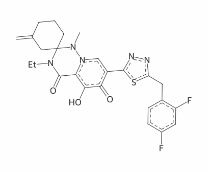 C=C1CCCC2(C1)N(CC)C(=O)c1c(O)c(=O)c(-c3nnc(Cc4ccc(F)cc4F)s3)cn1N2C